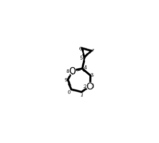 C1COCC(C2CC2)OC1